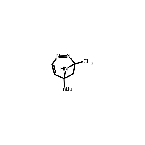 CCCCC12C=CN=NC(C)(C1)N2